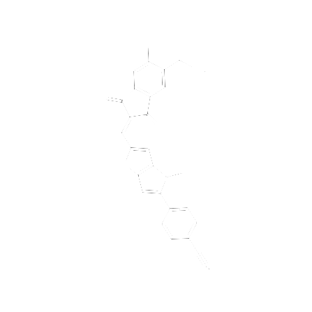 CCc1cc2c(cc1Cl)C(=O)/C(=C/c1cc3c(cc(-c4ccc(C#N)cc4)n3C)o1)C2=O